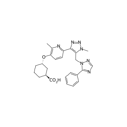 Cc1nc(-c2nnn(C)c2Cn2ncnc2-c2ccccc2)ccc1O[C@H]1CCC[C@H](C(=O)O)C1